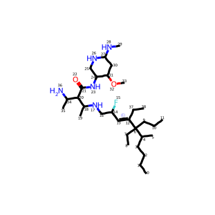 CCCCC(C)C(CC)(CCC)/C(=C/C(F)CNC(C)C(C(=O)NC1CNC(NC)CC1OC)C(C)N)CC